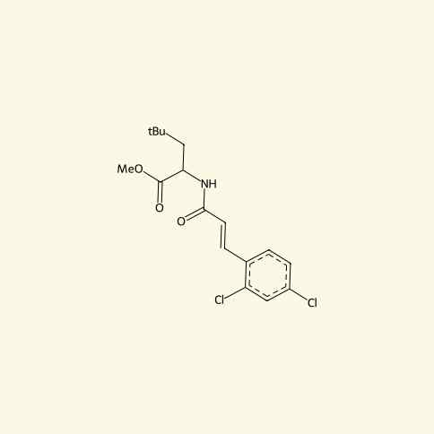 COC(=O)C(CC(C)(C)C)NC(=O)C=Cc1ccc(Cl)cc1Cl